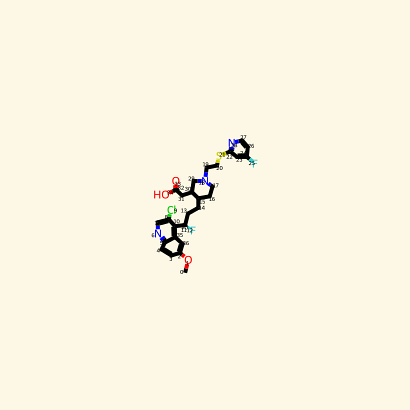 COc1ccc2ncc(Cl)c([C@H](F)CCC3CCN(CCSc4cc(F)ccn4)CC3CC(=O)O)c2c1